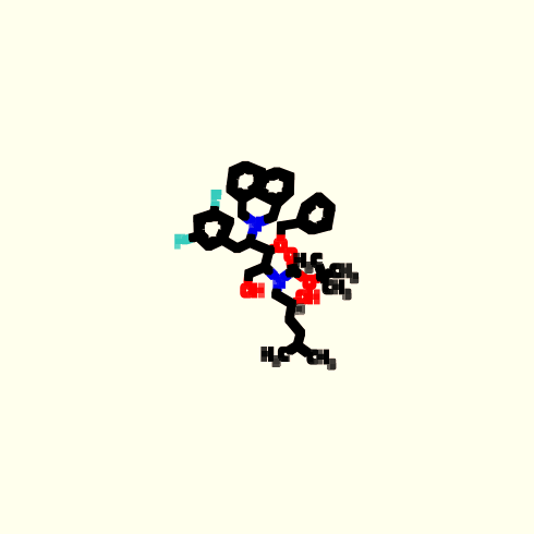 CC(C)CC[C@@H](O)CN(C(=O)OC(C)(C)C)C(CO)C(OCc1ccccc1)C(Cc1cc(F)cc(F)c1)N(Cc1ccccc1)Cc1ccccc1